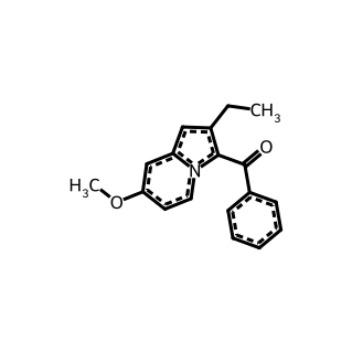 CCc1cc2cc(OC)ccn2c1C(=O)c1ccccc1